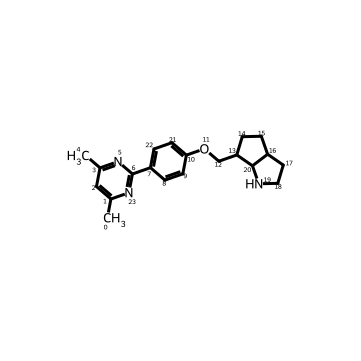 Cc1cc(C)nc(-c2ccc(OCC3CCC4CCNC43)cc2)n1